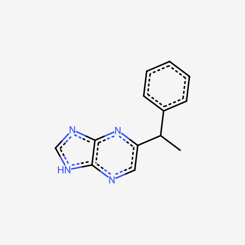 CC(c1ccccc1)c1cnc2[nH]cnc2n1